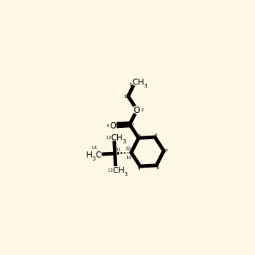 CCOC(=O)C1CCCC[C@@H]1C(C)(C)C